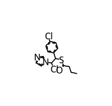 CCCC(=O)SC(c1ccc(Cl)cc1)C(Cl)n1ccnc1